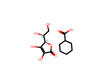 O=C(O)C1CCCCC1.O=C1O[C@H]([C@@H](O)CO)C(O)=C1O